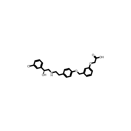 O=C(O)COc1cccc(COc2ccc(CCNC[C@@H](O)c3cccc(Cl)c3)cc2)c1